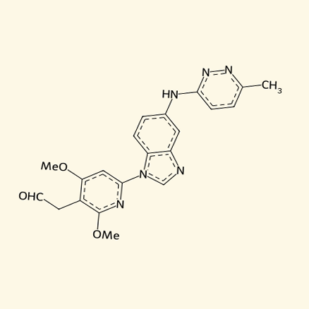 COc1cc(-n2cnc3cc(Nc4ccc(C)nn4)ccc32)nc(OC)c1CC=O